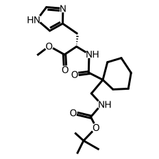 COC(=O)[C@H](Cc1c[nH]cn1)NC(=O)C1(CNC(=O)OC(C)(C)C)CCCCC1